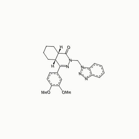 COc1ccc(C2=NN(Cn3nnc4ccccc43)C(=O)[C@H]3CCCC[C@@H]23)cc1OC